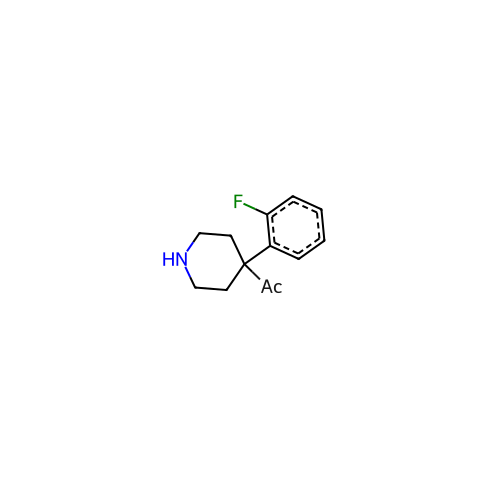 CC(=O)C1(c2ccccc2F)CCNCC1